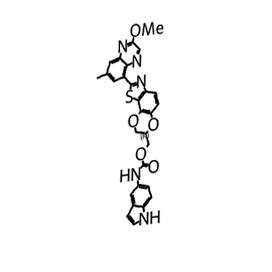 COc1cnc2c(-c3nc4ccc5c(c4s3)OC[C@H](COC(=O)Nc3ccc4[nH]ccc4c3)O5)cc(C)cc2n1